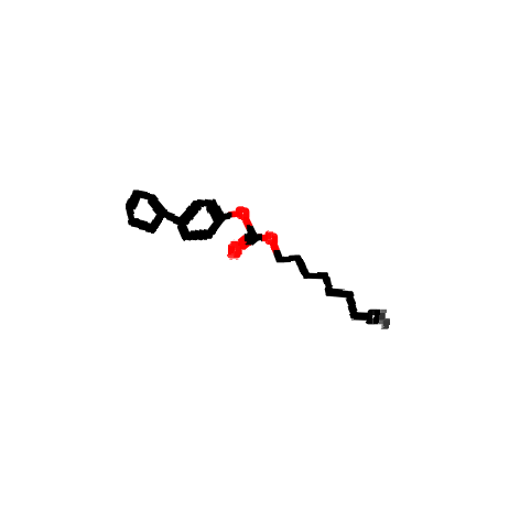 CCCCCCCCOC(=O)Oc1ccc(-c2ccccc2)cc1